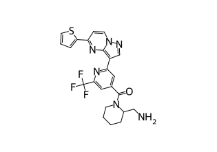 NCC1CCCCN1C(=O)c1cc(-c2cnn3ccc(-c4cccs4)nc23)nc(C(F)(F)F)c1